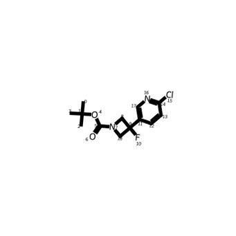 CC(C)(C)OC(=O)N1CC(F)(c2ccc(Cl)nc2)C1